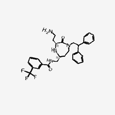 NCC[C@@H]1N[C@H](CNC(=O)c2cccc(C(F)(F)F)c2)CCN(CC(c2ccccc2)c2ccccc2)C1=O